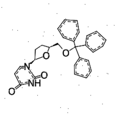 O=c1ccn([C@H]2CC[C@@H](COC(c3ccccc3)(c3ccccc3)c3ccccc3)O2)c(=O)[nH]1